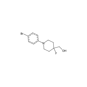 OCC1(F)CCN(c2ccc(Br)cc2)CC1